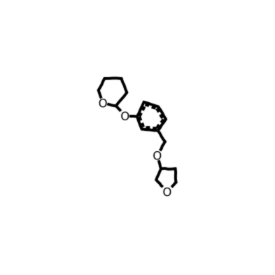 c1cc(COC2CCOC2)cc(OC2CCCCO2)c1